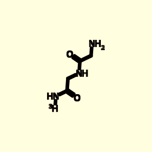 [3H]NC(=O)CNC(=O)CN